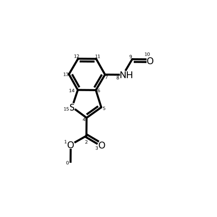 COC(=O)c1cc2c(NC=O)cccc2s1